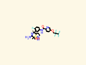 CC1(C)C(N)=N[C@](C)(c2cc(NC(=O)c3ccc(OCC(F)(F)C(F)F)cn3)ccc2F)[C@@H]2CCNS21O